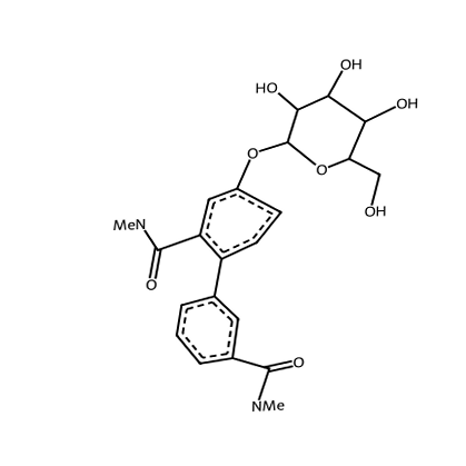 CNC(=O)c1cccc(-c2ccc(OC3OC(CO)C(O)C(O)C3O)cc2C(=O)NC)c1